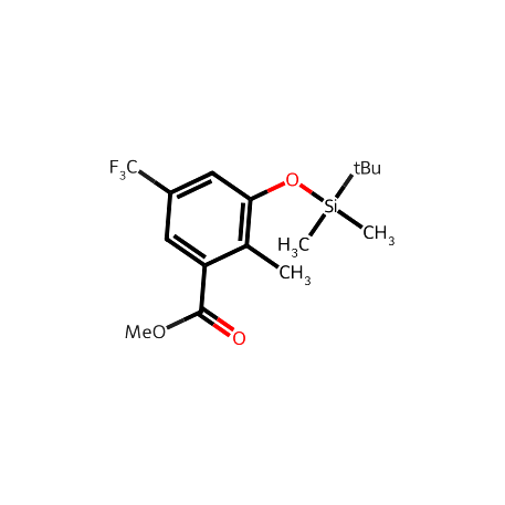 COC(=O)c1cc(C(F)(F)F)cc(O[Si](C)(C)C(C)(C)C)c1C